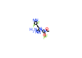 C=CC(=O)N1CC(n2nc(C#Cc3c(F)cc4c(ncn4C)c3F)c3c(N)ncnc32)C[C@@H]1COC(F)F